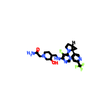 NC(=O)CN1CCC(CNc2ncnc(N3CC[C@@H]4C[C@@]43c3ccc(C(F)(F)F)nc3)c2F)C(O)C1